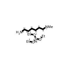 CCO[SiH](OCC)OCC.CNCCCCCCN